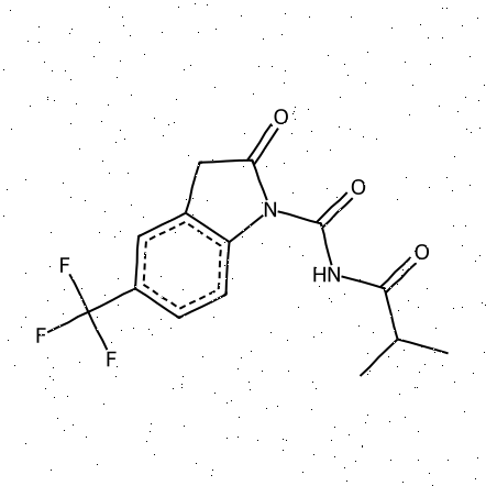 CC(C)C(=O)NC(=O)N1C(=O)Cc2cc(C(F)(F)F)ccc21